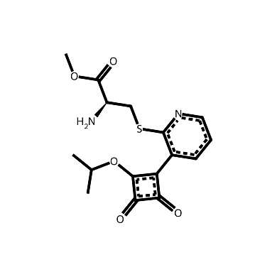 COC(=O)[C@H](N)CSc1ncccc1-c1c(OC(C)C)c(=O)c1=O